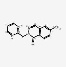 Cc1ccc2c(=O)n(Cc3ncccn3)ncc2c1